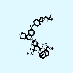 CC(F)(F)c1nc(N2CC3(CCOCC3)c3cc(OC4CCC5(CC4)CN(CC(F)(F)F)C5)ccc32)ncc1C(=O)NC1(C(=O)O)C2CC3CC(C2)CC1C3